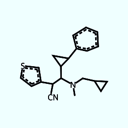 CN(CC1CC1)C(C(C#N)c1ccsc1)C1CC1c1ccccc1